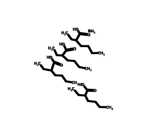 CCCCC(CC)C(=O)O.CCCCC(CC)C(=O)O.CCCCC(CC)C(=O)O.CCCCC(CC)C(=O)O.[BiH3]